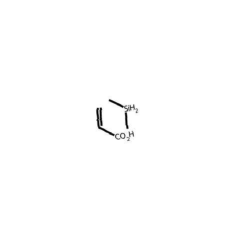 C=CC(=O)O.C[SiH2]C